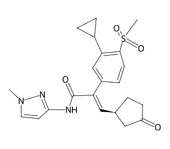 Cn1ccc(NC(=O)/C(=C/[C@H]2CCC(=O)C2)c2ccc(S(C)(=O)=O)c(C3CC3)c2)n1